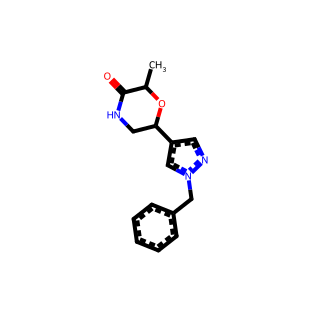 CC1OC(c2cnn(Cc3ccccc3)c2)CNC1=O